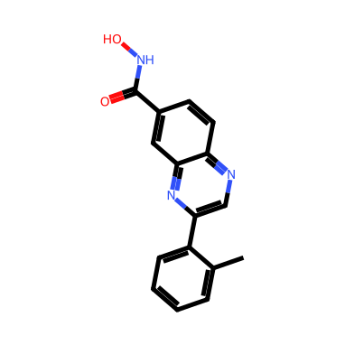 Cc1ccccc1-c1cnc2ccc(C(=O)NO)cc2n1